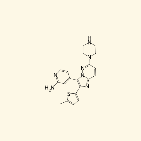 Cc1ccc(-c2nc3ccc(N4CCNCC4)nn3c2-c2ccnc(N)c2)s1